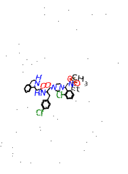 CCN(CC(c1ccccc1Cl)N1CCN(C(=O)C(Cc2ccc(Cl)cc2)NC(=O)CC2NCCc3ccccc32)CC1)S(C)(=O)=O